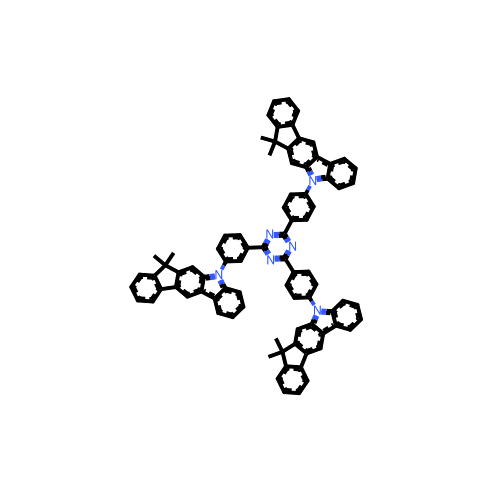 CC1(C)c2ccccc2-c2cc3c4ccccc4n(-c4ccc(-c5nc(-c6ccc(-n7c8ccccc8c8cc9c(cc87)C(C)(C)c7ccccc7-9)cc6)nc(-c6cccc(-n7c8ccccc8c8cc9c(cc87)C(C)(C)c7ccccc7-9)c6)n5)cc4)c3cc21